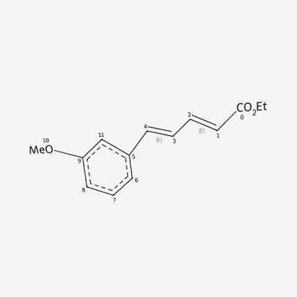 CCOC(=O)/C=C/C=C/c1cccc(OC)c1